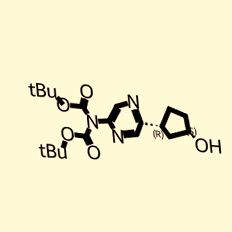 CC(C)(C)OC(=O)N(C(=O)OC(C)(C)C)c1cnc([C@@H]2CC[C@H](O)C2)cn1